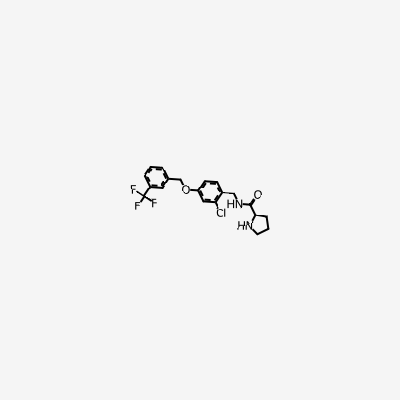 O=C(NCc1ccc(OCc2cccc(C(F)(F)F)c2)cc1Cl)C1CCCN1